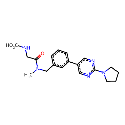 CN(Cc1cccc(-c2cnc(N3CCCC3)nc2)c1)C(=O)CNC(=O)O